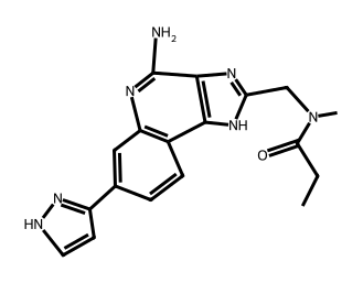 CCC(=O)N(C)Cc1nc2c(N)nc3cc(-c4cc[nH]n4)ccc3c2[nH]1